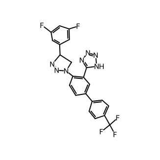 Fc1cc(F)cc(C2CN(c3ccc(-c4ccc(C(F)(F)F)cc4)cc3-c3nnn[nH]3)N=N2)c1